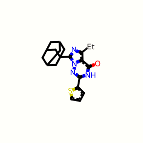 CCc1nc(C23CC4CC(CC(C4)C2)C3)n2nc(-c3cccs3)[nH]c(=O)c12